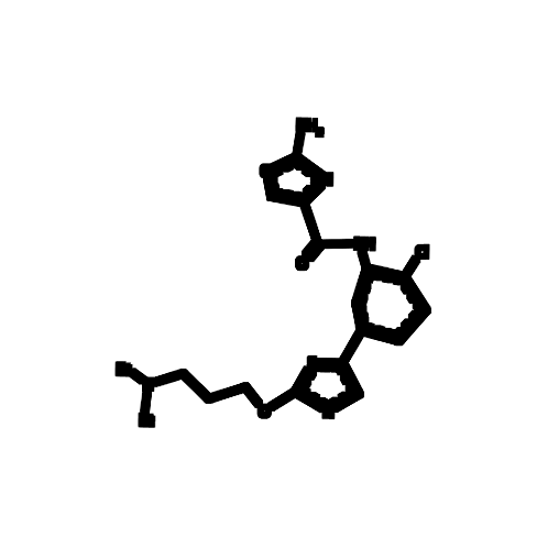 CCN(CC)CCCOc1ncc(-c2ccc(Cl)c(NC(=O)c3coc(N)n3)c2)s1